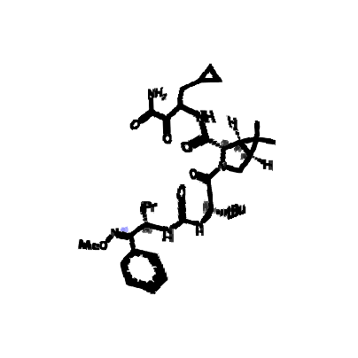 CO/N=C(\c1ccccc1)[C@@H](NC(=O)N[C@H](C(=O)N1C[C@H]2[C@@H]([C@H]1C(=O)NC(CC1CC1)C(=O)C(N)=O)C2(C)C)C(C)(C)C)C(C)C